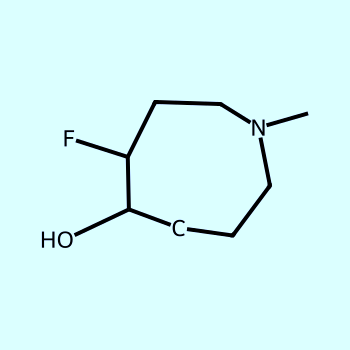 CN1CCCC(O)C(F)CC1